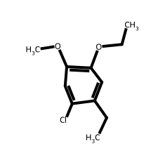 CCOc1cc(CC)c(Cl)cc1OC